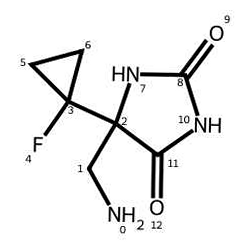 NCC1(C2(F)CC2)NC(=O)NC1=O